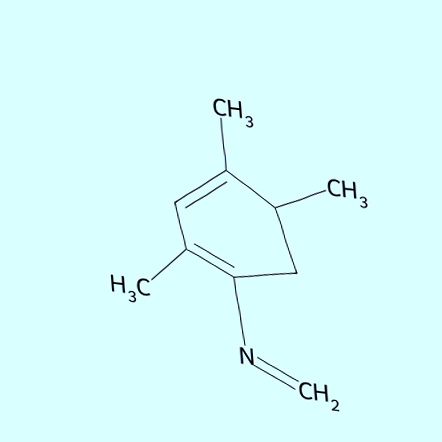 C=NC1=C(C)C=C(C)C(C)C1